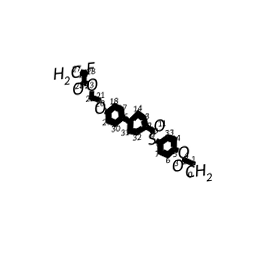 C=CC(=O)Oc1ccc(SC(=O)c2ccc(-c3ccc(OCCOC(=O)C(=C)F)cc3)cc2)cc1